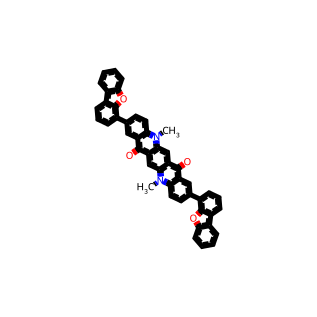 Cn1c2ccc(-c3cccc4c3oc3ccccc34)cc2c(=O)c2cc3c(cc21)c(=O)c1cc(-c2cccc4c2oc2ccccc24)ccc1n3C